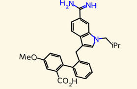 COc1ccc(-c2ccccc2Cc2cn(CC(C)C)c3cc(C(=N)N)ccc23)c(C(=O)O)c1